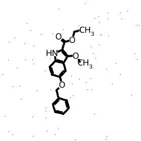 CCOC(=O)c1[nH]c2ccc(OCc3ccccc3)cc2c1OC